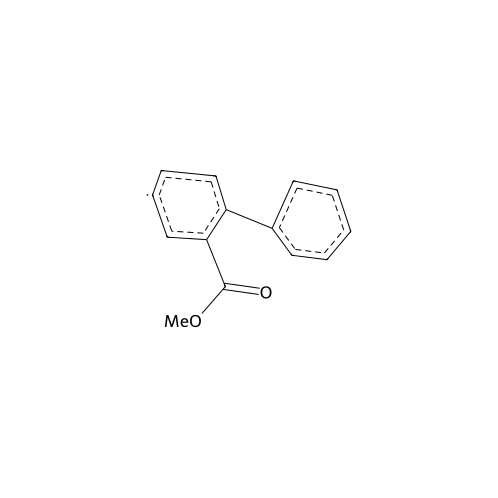 COC(=O)c1c[c]ccc1-c1ccccc1